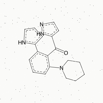 O=C(c1ccn[nH]1)c1c(-c2ccc[nH]2)cccc1N1CCCCC1